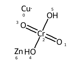 [Cu].[O]=[Cr](=[O])([OH])[OH].[Zn]